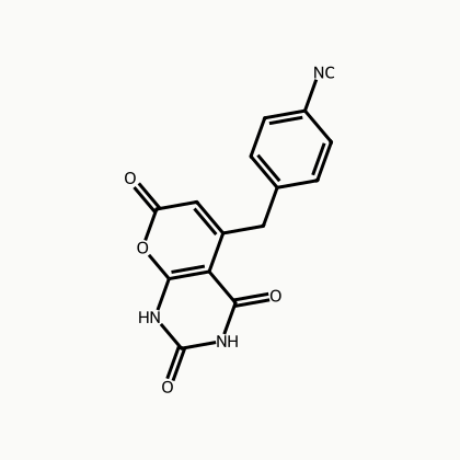 [C-]#[N+]c1ccc(Cc2cc(=O)oc3[nH]c(=O)[nH]c(=O)c23)cc1